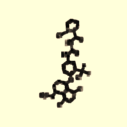 O=C(NC(=O)c1ccccc1Cl)Nc1ccc(Oc2ccc(SC(Cl)(Cl)Cl)c3c(Cl)ccc(Cl)c23)c(C(F)(F)Cl)c1